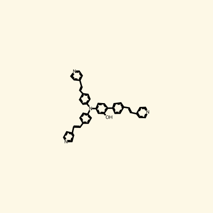 Oc1cc(N(c2ccc(C=Cc3ccncc3)cc2)c2ccc(C=Cc3ccncc3)cc2)ccc1-c1ccc(C=Cc2ccncc2)cc1